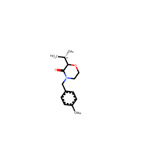 COc1ccc(CN2CCOC([C@@H](OC(C)=O)C(=O)O)C2=O)cc1